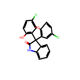 O=C1Nc2ccccc2C1(c1cc(Cl)ccc1O)c1cc(Cl)ccc1O